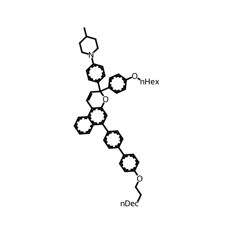 CCCCCCCCCCCCOc1ccc(-c2ccc(-c3cc4c(c5ccccc35)C=CC(c3ccc(OCCCCCC)cc3)(c3ccc(N5CCC(C)CC5)cc3)O4)cc2)cc1